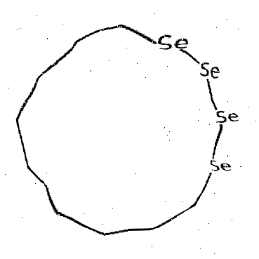 C1CCCC[Se][Se][Se][Se]CCCC1